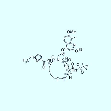 CCOc1cc(O[C@@H]2C[C@H]3C(=O)N[C@]4(C(=O)NS(=O)(=O)C5(C)CC5)C[C@H]4/C=C\CCCCC[C@H](NC(=O)c4ccn(CC(F)(F)F)n4)C(=O)N3C2)c2ccc(OC)c(C)c2n1